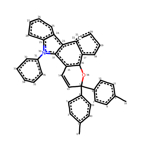 Cc1ccc(C2(c3ccc(C)cc3)C=Cc3c(c4ccccc4c4c5ccccc5n(-c5ccccc5)c34)O2)cc1